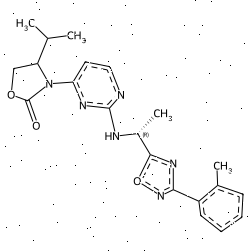 Cc1ccccc1-c1noc([C@@H](C)Nc2nccc(N3C(=O)OCC3C(C)C)n2)n1